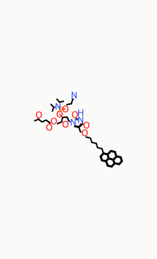 CC(=O)CCC(=O)OCC1OC(n2cc(COCCCCCCc3ccc4ccc5cccc6ccc3c4c56)c(=O)[nH]c2=O)C[C@@H]1OP(OCCC#N)N(C(C)C)C(C)C